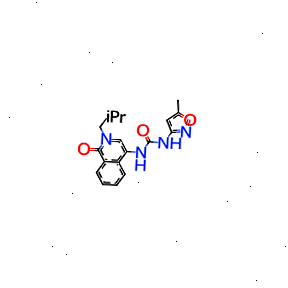 Cc1cc(NC(=O)Nc2cn(CC(C)C)c(=O)c3ccccc23)no1